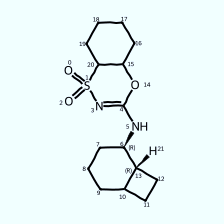 O=S1(=O)N=C(N[C@@H]2CCCC3CC[C@H]32)OC2CCCCC21